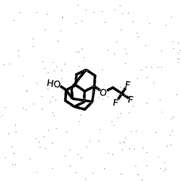 OC12CC3CC4C1CC1CC2C(C3)C4(OCC(F)(F)F)C1